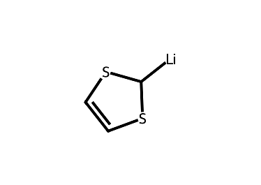 [Li][CH]1SC=CS1